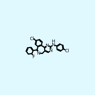 FC1CC=CC=C1C1=NCc2cnc(Nc3ccc(Cl)cc3)nc2-c2ccc(Cl)cc21